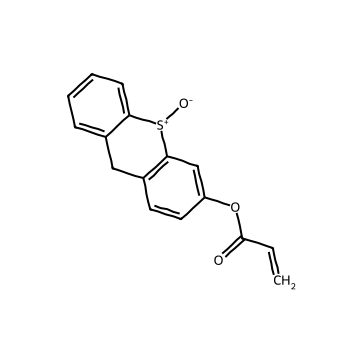 C=CC(=O)Oc1ccc2c(c1)[S+]([O-])c1ccccc1C2